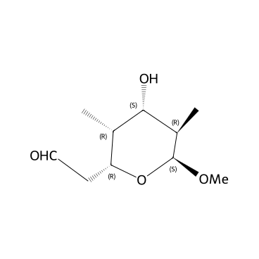 CO[C@H]1O[C@H](CC=O)[C@H](C)[C@H](O)[C@H]1C